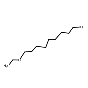 CCOCCCCCCCCCCl